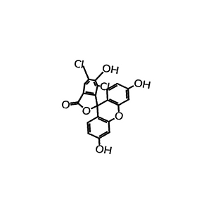 O=C1OC2(c3ccc(O)cc3Oc3cc(O)ccc32)c2c1cc(Cl)c(O)c2Cl